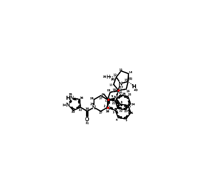 Cc1nc2ccccc2n1[C@H]1C[C@H]2CC[C@@H](C1)N2CCC1(c2ccccc2)CCN(C(=O)c2cn[nH]c2)CC1